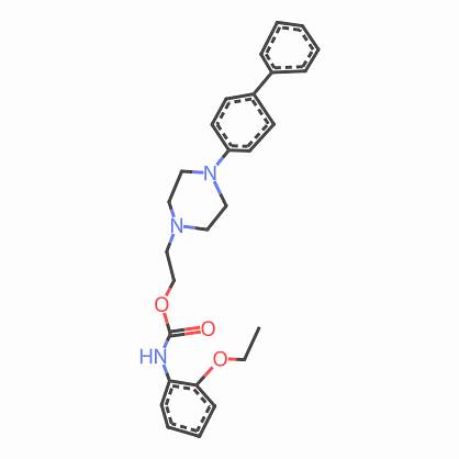 CCOc1ccccc1NC(=O)OCCN1CCN(c2ccc(-c3ccccc3)cc2)CC1